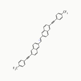 FC(F)(F)c1ccc(C#Cc2ccc3cc(/C=C/c4ccc5cc(C#Cc6ccc(C(F)(F)F)cc6)ccc5c4)ccc3c2)cc1